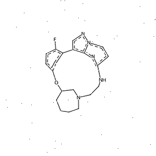 Fc1ccc2cc1-c1cnn3ccc(nc13)NCCN1CCCCC(C1)O2